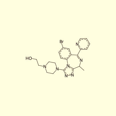 CC1N=C(c2ccccn2)c2cc(Br)ccc2-n2c1nnc2N1CCN(CCO)CC1